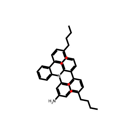 CCCCc1ccc(-c2ccccc2N(c2cccc(N)c2)c2ccccc2-c2ccc(CCCC)cc2)cc1